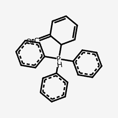 O=C=C1C=CC=CC1[PH](c1ccccc1)(c1ccccc1)c1ccccc1